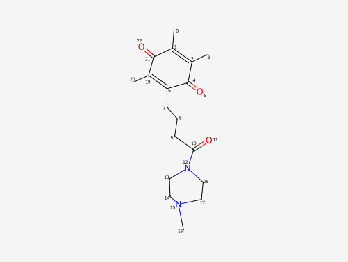 CC1=C(C)C(=O)C(CCCC(=O)N2CCN(C)CC2)=C(C)C1=O